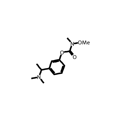 CON(C)C(=O)Oc1cccc(C(C)N(C)C)c1